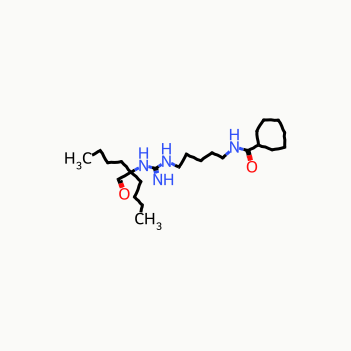 CCCCC(C=O)(CCCC)NC(=N)NCCCCCNC(=O)C1CCCCCC1